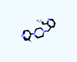 C=Cc1ncccc1CN1CCN(c2ccncc2F)CC1